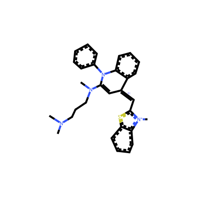 CN(C)CCCN(C)C1=C/C(=C\c2sc3ccccc3[n+]2C)c2ccccc2N1c1ccccc1